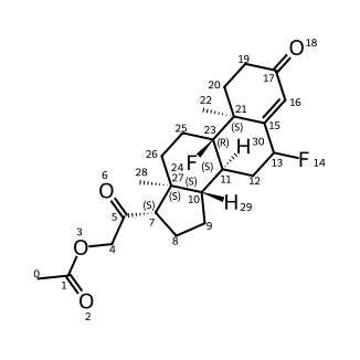 CC(=O)OCC(=O)[C@H]1CC[C@H]2[C@@H]3CC(F)C4=CC(=O)CC[C@]4(C)[C@@]3(F)CC[C@]12C